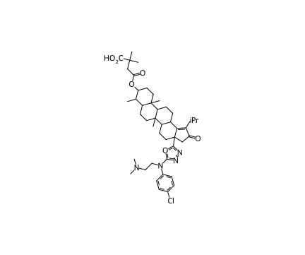 CC(C)C1=C2C3CCC4C(C)(CCC5C(C)C(OC(=O)CC(C)(C)C(=O)O)CCC54C)C3CCC2(c2nnc(N(CCN(C)C)c3ccc(Cl)cc3)o2)CC1=O